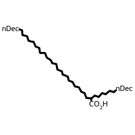 CCCCCCCCCCCCCCCCCCCCCCCCCCCCCCCCCCC(CCCCCCCCCCCCCCCC)C(=O)O